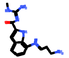 CNC(N)=NC(=O)c1cc2cccc(NCCCN)c2[nH]1